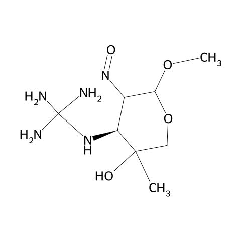 COC1OCC(C)(O)[C@@H](NC(N)(N)N)C1N=O